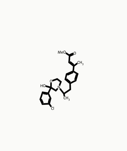 COC(=O)C=C(C)c1ccc(CC(C)N2CCOC(O)(c3cccc(Cl)c3)C2)cc1